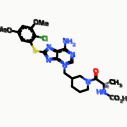 COc1cc(OC)c(Cl)c(Sc2nc3c(N)ncn(CC4CCCN(C(=O)[C@H](C)NC(=O)O)C4)c-3n2)c1